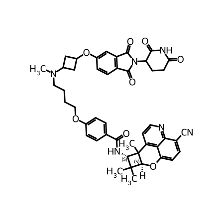 CN(CCCCOc1ccc(C(=O)N[C@H]2C(C)(C)[C@@H]3Oc4ccc(C#N)c5nccc(c45)C23C)cc1)C1CC(Oc2ccc3c(c2)C(=O)N(C2CCC(=O)NC2=O)C3=O)C1